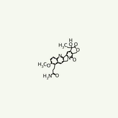 CCC1(O)C(=O)OCc2c1cc1n(c2=O)Cc2cc3c(CCC(N)=O)c(OC)ccc3nc2-1